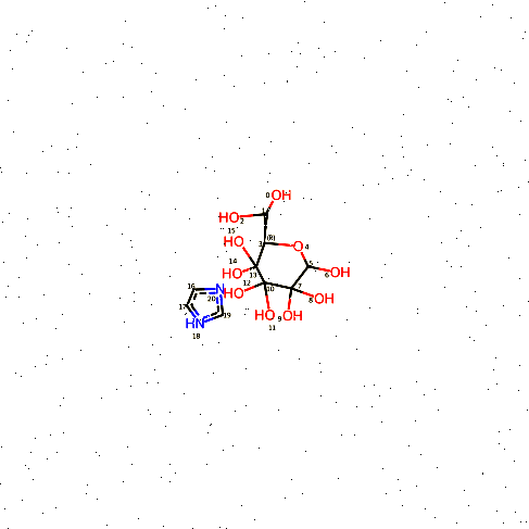 OC(O)[C@H]1OC(O)C(O)(O)C(O)(O)C1(O)O.c1c[nH]cn1